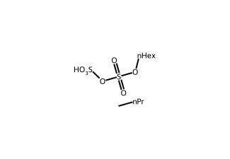 CCCC.CCCCCCOS(=O)(=O)OS(=O)(=O)O